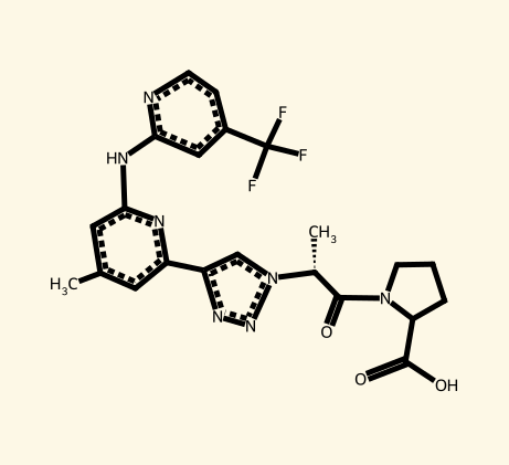 Cc1cc(Nc2cc(C(F)(F)F)ccn2)nc(-c2cn([C@H](C)C(=O)N3CCCC3C(=O)O)nn2)c1